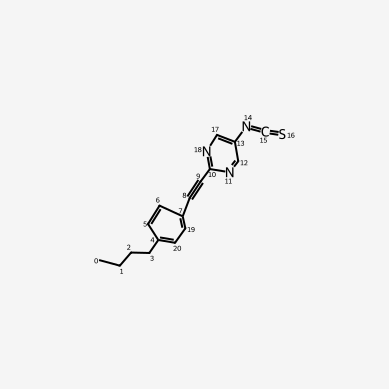 CCCCc1ccc(C#Cc2ncc(N=C=S)cn2)cc1